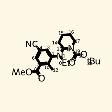 CCN(c1cc(C#N)cc(C(=O)OC)c1C)C1CCCCN1C(=O)OC(C)(C)C